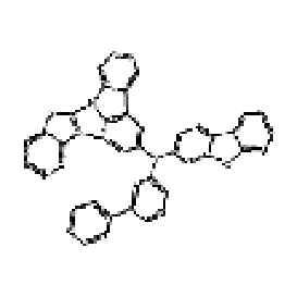 c1ccc(-c2cccc(N(c3ccc4c(c3)oc3ccccc34)c3cc4c5ccccc5n5c6sc7ccccc7c6c(c3)c45)c2)cc1